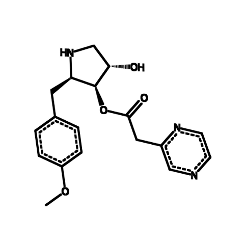 COc1ccc(C[C@H]2NC[C@H](O)[C@H]2OC(=O)Cc2cnccn2)cc1